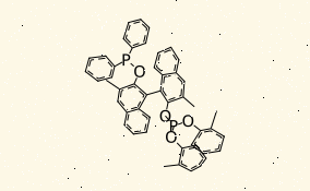 Cc1ccccc1OP(Oc1ccccc1C)Oc1c(C)cc2ccccc2c1-c1c(OP(c2ccccc2)c2ccccc2)c(C)cc2ccccc12